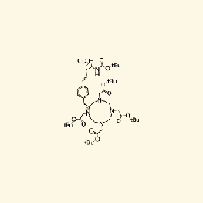 CC(C)(C)OC(=O)CN1CCN(CC(=O)OC(C)(C)C)CCN(CC(=O)OC(C)(C)C)[C@@H](Cc2ccc(C=CCC(NC(=O)OC(C)(C)C)C(=O)O)cc2)CN(CC(=O)OC(C)(C)C)CC1